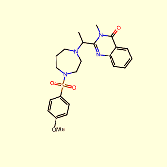 COc1ccc(S(=O)(=O)N2CCCN(C(C)c3nc4ccccc4c(=O)n3C)CC2)cc1